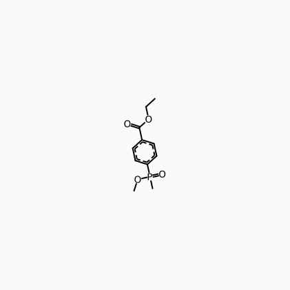 CCOC(=O)c1ccc(P(C)(=O)OC)cc1